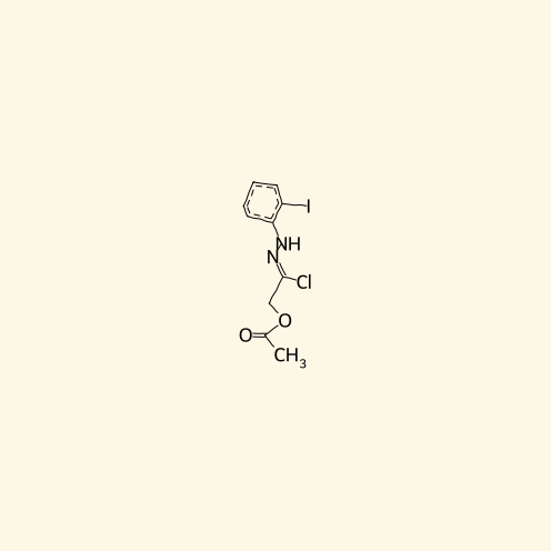 CC(=O)OCC(Cl)=NNc1ccccc1I